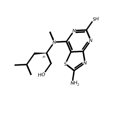 CC(C)C[C@H](CO)N(C)c1nc(S)nc2nc(N)sc12